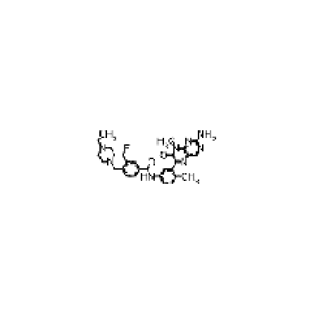 CCN1CCN(Cc2ccc(C(=O)Nc3ccc(C)c(-c4nc5cnc(N)nc5n(C)c4=O)c3)cc2CF)CC1